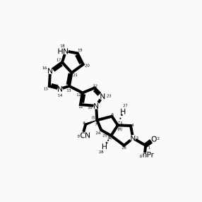 CCCC(=O)N1C[C@@H]2C[C@@](CC#N)(n3cc(-c4ncnc5[nH]ccc45)cn3)C[C@@H]2C1